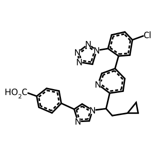 O=C(O)c1ccc(-c2cn(C(CC3CC3)c3ccc(-c4cc(Cl)ccc4-n4cnnn4)cn3)cn2)cc1